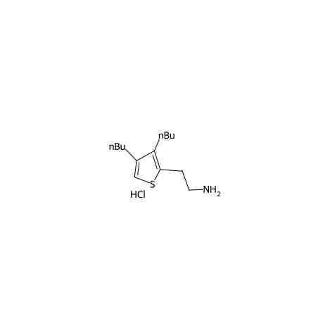 CCCCc1csc(CCN)c1CCCC.Cl